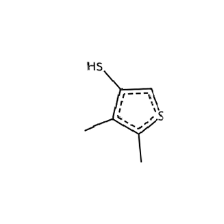 Cc1scc(S)c1C